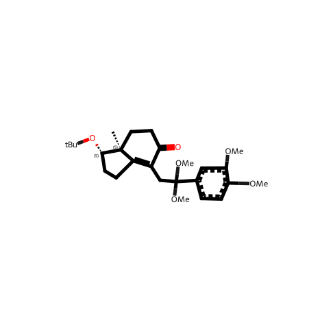 COc1ccc(C(CC2=C3CC[C@H](OC(C)(C)C)[C@@]3(C)CCC2=O)(OC)OC)cc1OC